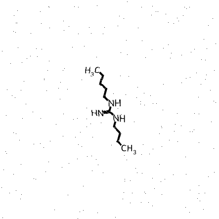 CCCCCNC(=N)NCCCC